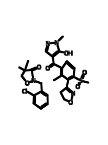 CC1(C)CON(Cc2ccccc2Cl)C1=O.Cc1c(C(=O)c2cnn(C)c2O)ccc(S(C)(=O)=O)c1C1=NOCC1